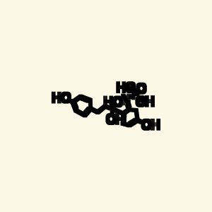 O=P(O)(O)N=C1CC(O)=CC=C1C(O)(O)CCc1ccc(O)cc1